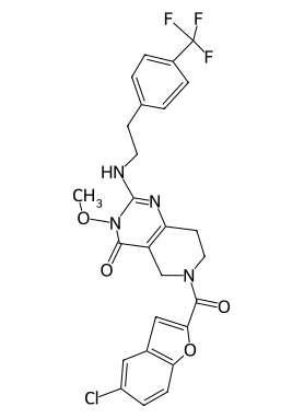 COn1c(NCCc2ccc(C(F)(F)F)cc2)nc2c(c1=O)CN(C(=O)c1cc3cc(Cl)ccc3o1)CC2